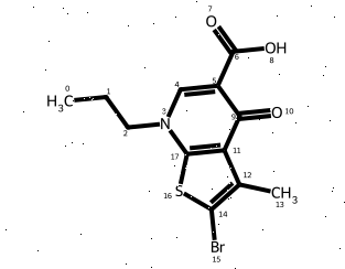 CCCn1cc(C(=O)O)c(=O)c2c(C)c(Br)sc21